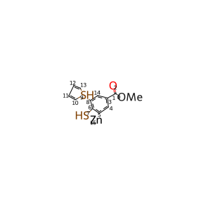 COC(=O)c1ccc(S)c([SH]2C=CC=C2)c1.[Zn]